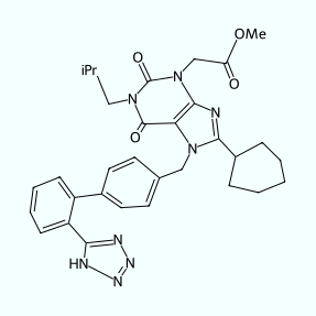 COC(=O)Cn1c(=O)n(CC(C)C)c(=O)c2c1nc(C1CCCCC1)n2Cc1ccc(-c2ccccc2-c2nnn[nH]2)cc1